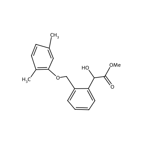 COC(=O)C(O)c1ccccc1COc1cc(C)ccc1C